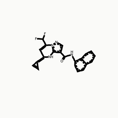 O=C(Nc1cccc2ccccc12)c1cnn2c1NC(=C1C=C1)C=C2C(F)F